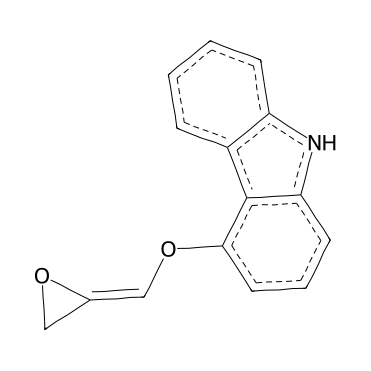 C(Oc1cccc2[nH]c3ccccc3c12)=C1CO1